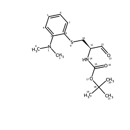 CN(C)c1ccccc1SC[C@@H](C=O)NC(=O)OC(C)(C)C